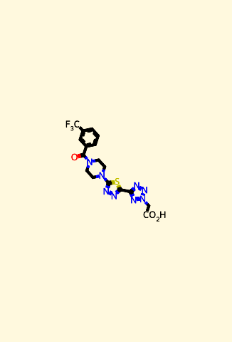 O=C(O)Cn1nnc(-c2nnc(N3CCN(C(=O)c4cccc(C(F)(F)F)c4)CC3)s2)n1